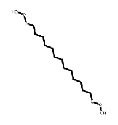 OOOCCCCCCCCCCCCCOOO